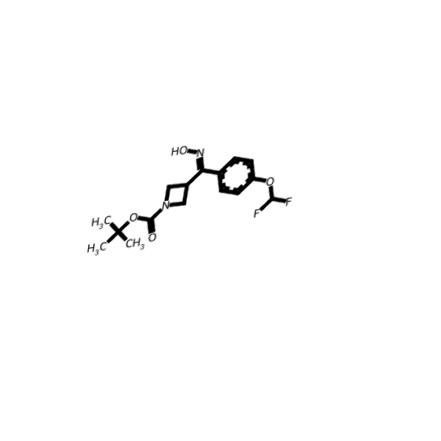 CC(C)(C)OC(=O)N1CC(/C(=N\O)c2ccc(OC(F)F)cc2)C1